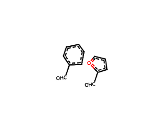 O=Cc1ccccc1.O=Cc1ccco1